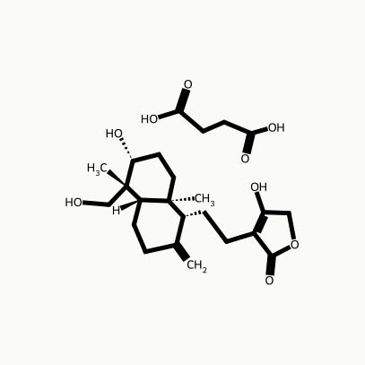 C=C1CC[C@@H]2[C@](C)(CO)[C@H](O)CC[C@@]2(C)[C@@H]1CCC1=C(O)COC1=O.O=C(O)CCC(=O)O